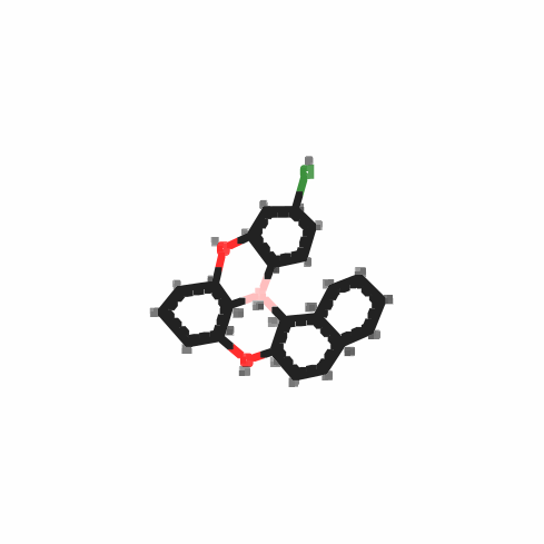 Clc1ccc2c(c1)Oc1cccc3c1B2c1c(ccc2ccccc12)O3